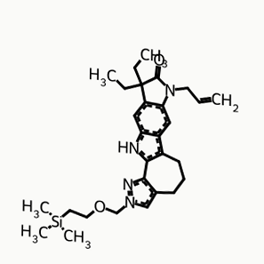 C=CCN1C(=O)C(CC)(CC)c2cc3[nH]c4c(c3cc21)CCCc1cn(COCC[Si](C)(C)C)nc1-4